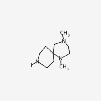 CN1CCN(C)C2(CCN(I)CC2)C1